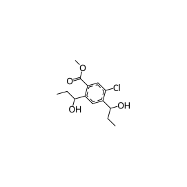 CCC(O)c1cc(C(O)CC)c(C(=O)OC)cc1Cl